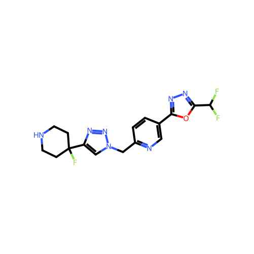 FC(F)c1nnc(-c2ccc(Cn3cc(C4(F)CCNCC4)nn3)nc2)o1